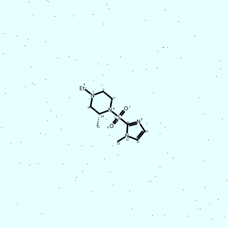 CCN1CCN(S(=O)(=O)c2nccn2C)[C@H](C)C1